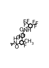 Cc1c(F)cc(C(=O)NC2CC2)cc1-c1ccc(C(=O)NCc2ccc(C(F)(F)F)cc2C(F)(F)F)c[n+]1[O-]